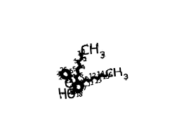 CCCCCCCCc1c(CCCCCCC)ccc(O)c1Oc1ccccc1